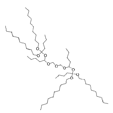 CCCCCCCCCCOC(CCCC)(OCCCCCCCCCC)OC(CCCC)OCOCOC(CCCC)OC(CCCC)(OCCCCCCCCCC)OCCCCCCCCCC